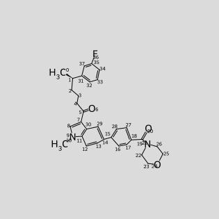 C[C@H](CCCC(=O)c1cn(C)c2ccc(-c3ccc(C(=O)N4CCOCC4)cc3)cc12)c1cccc(F)c1